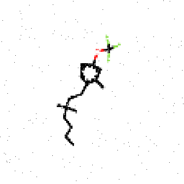 CCCCC(C)(C)CCc1ccc(OC(F)(F)F)cc1C